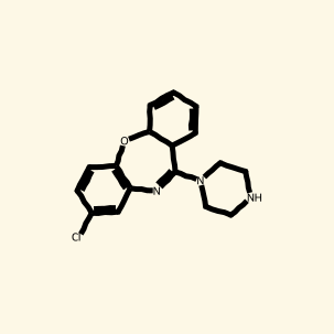 Clc1ccc2c(c1)N=C(N1CCNCC1)C1C=CC=CC1O2